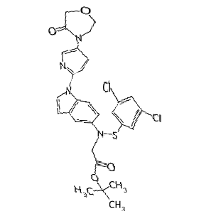 CC(C)(C)OC(=O)CN(Sc1cc(Cl)cc(Cl)c1)c1ccc2c(ccn2-c2ccc(N3CCOCC3=O)cn2)c1